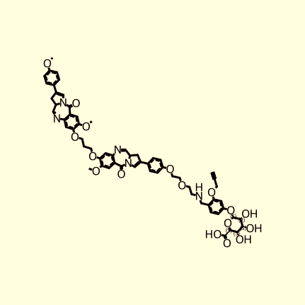 C#CCOc1cc(O[C@@H]2O[C@H](C(=O)O)[C@@H](O)[C@H](O)[C@H]2O)ccc1CNCCOCCOc1ccc(C2=CN3C(=O)c4cc(OC)c(OCCCOc5cc6c(cc5OC)C(=O)N5C=C(c7ccc(OC)cc7)CC5C=N6)cc4N=CC3C2)cc1